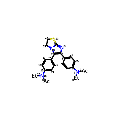 CCN(C(C)=O)c1ccc(-c2nc3n(c2-c2ccc(N(CC)C(C)=O)cc2)CCS3)cc1